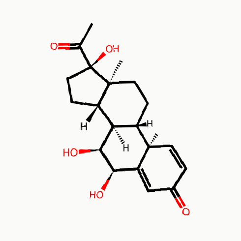 CC(=O)[C@@]1(O)CC[C@H]2[C@@H]3[C@H](O)[C@H](O)C4=CC(=O)C=C[C@]4(C)[C@H]3CC[C@@]21C